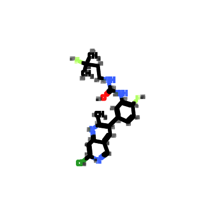 Cc1nc2cc(Cl)ncc2cc1-c1ccc(F)c(NC(=O)NCCC(C)(C)F)c1